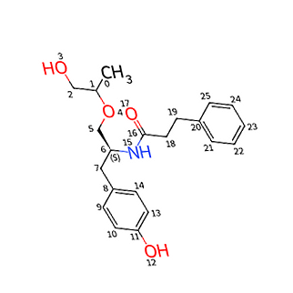 CC(CO)OC[C@H](Cc1ccc(O)cc1)NC(=O)CCc1ccccc1